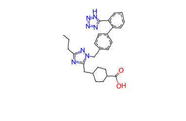 CCCc1nc(CC2CCC(C(=O)O)CC2)n(Cc2ccc(-c3ccccc3-c3nnn[nH]3)cc2)n1